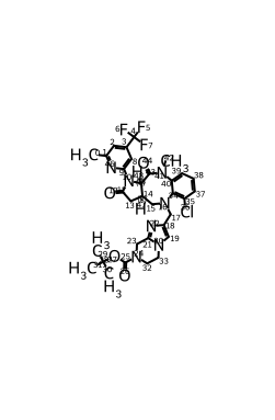 Cc1cc(C(F)(F)F)cc(N2C(=O)C[C@@H]3CN(Cc4cn5c(n4)CN(C(=O)OC(C)(C)C)CC5)c4c(Cl)cccc4N(C)C(=O)[C@H]32)n1